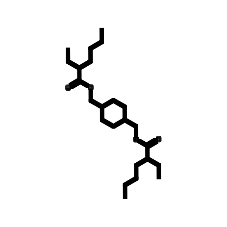 CCCCC(CC)C(=O)OCC1CCC(COC(=O)C(CC)CCCC)CC1